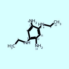 CCNc1cc(N)c(NCC)cc1N